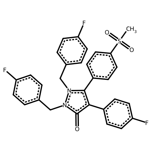 CS(=O)(=O)c1ccc(-c2c(-c3ccc(F)cc3)c(=O)n(Cc3ccc(F)cc3)n2Cc2ccc(F)cc2)cc1